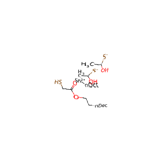 CC(O)[S-].CC(O)[S-].CCCCCCCCCCCCOC(=O)CS.CCCCCCC[CH2][Sn+2]